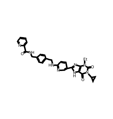 CCn1c(=O)n(C2CC2)c(=O)c2[nH]c(-c3ccc(NCc4ccc(CNC(=O)c5ccccn5)cc4)nc3)nc21